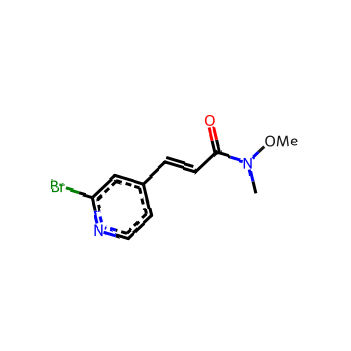 CON(C)C(=O)C=Cc1ccnc(Br)c1